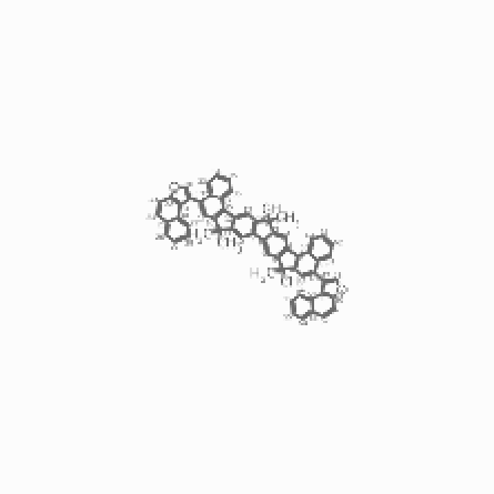 CC1(C)c2cc3c(cc2-c2cc4c(cc21)-c1c(cc(-c2coc5ccc6ccccc6c25)c2ccccc12)C4(C)C)C(C)(C)c1cc(-c2coc4ccc5ccccc5c24)c2ccccc2c1-3